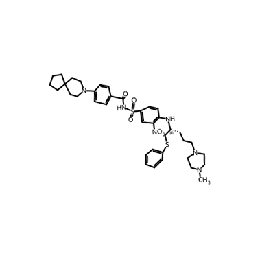 CN1CCN(CCC[C@H](CSc2ccccc2)Nc2ccc(S(=O)(=O)NC(=O)c3ccc(N4CCC5(CCCC5)CC4)cc3)cc2[N+](=O)[O-])CC1